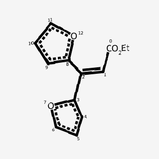 CCOC(=O)C=C(c1ccco1)c1ccco1